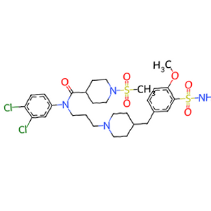 COc1ccc(CC2CCN(CCCN(C(=O)C3CCN(S(C)(=O)=O)CC3)c3ccc(Cl)c(Cl)c3)CC2)cc1S(N)(=O)=O